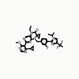 CCN1C(=O)C2(CC2)N(Cc2ccc(-c3nc(C(C)(F)F)cn3C(C)C)c(F)c2)c2nc(-c3c(OC)ncnc3C3CC3)ncc21